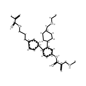 C=C(C)C(=O)OCCCc1ccc(-c2ccc(OC(=O)C(=C)COC)cc2C2CCC(COCC)CC2)cc1